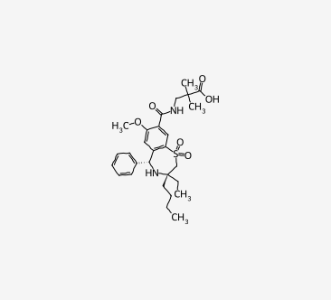 CCCC[C@]1(CC)CS(=O)(=O)c2cc(C(=O)NCC(C)(C)C(=O)O)c(OC)cc2[C@@H](c2ccccc2)N1